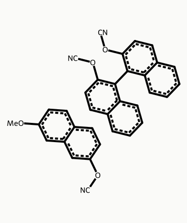 COc1ccc2ccc(OC#N)cc2c1.N#COc1ccc2ccccc2c1-c1c(OC#N)ccc2ccccc12